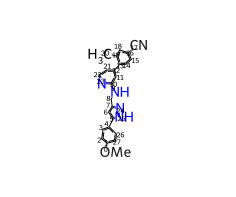 COc1ccc(-c2cc(CNc3cc(-c4ccc(C#N)cc4C)ccn3)n[nH]2)cc1